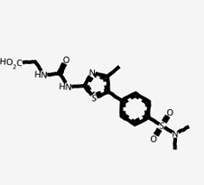 Cc1nc(NC(=O)NCC(=O)O)sc1-c1ccc(S(=O)(=O)N(C)C)cc1